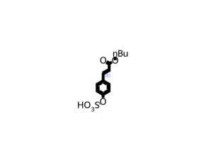 CCCCOC(=O)/C=C/c1ccc(OS(=O)(=O)O)cc1